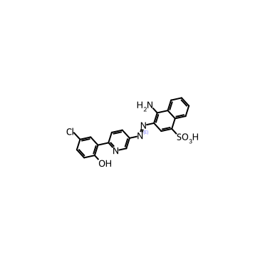 Nc1c(/N=N/c2ccc(-c3cc(Cl)ccc3O)nc2)cc(S(=O)(=O)O)c2ccccc12